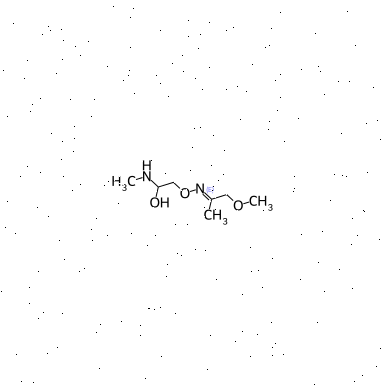 CNC(O)CO/N=C(\C)COC